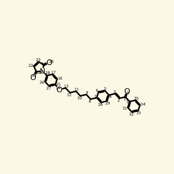 O=C(C=Cc1ccc(CCCCCCOc2ccc(N3C(=O)C=CC3=O)cc2)cc1)c1ccccc1